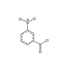 O=C(Cl)c1cccc([SiH](Cl)Cl)c1